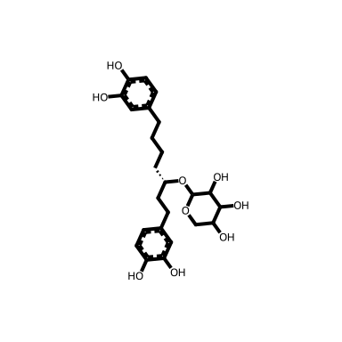 Oc1ccc(CCCC[C@@H](CCc2ccc(O)c(O)c2)OC2OCC(O)C(O)C2O)cc1O